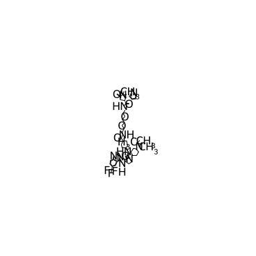 CC(C)N(C)[C@@H]1CC[C@H](N2CC[C@H](Nc3ncnc4ccc(C(F)(F)F)cc34)C2=O)[C@H](NC2CCC(C(=O)NCCOCCOCCNC(=O)[C@H]3CC(=O)N(C)[C@@H]3c3cccnc3)CC2)C1